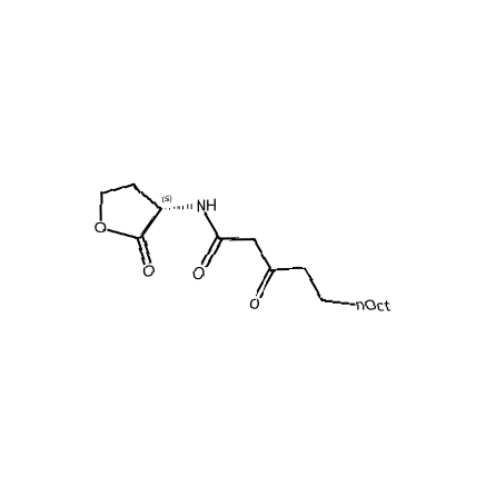 CCCCCCCCCCC(=O)CC(=O)N[C@H]1CCOC1=O